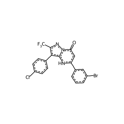 O=c1cc(-c2cccc(Br)c2)[nH]c2c(-c3ccc(Cl)cc3)c(C(F)(F)F)nn12